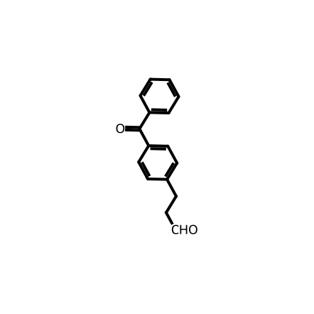 O=CCCc1ccc(C(=O)c2ccccc2)cc1